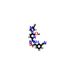 COc1nc(C2=NOCC(c3cccc(C#N)c3)N2)ccc1-n1cnc(C)c1